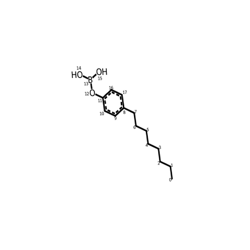 CCCCCCCCc1ccc(OB(O)O)cc1